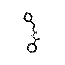 O=C(ONN=Cc1ccccc1)c1ccccc1